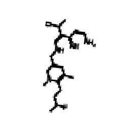 CC1=C(CCC(C)F)N(C)CC(CN/C=C(\C(=N)/C=C\N)C(C)Cl)=C1